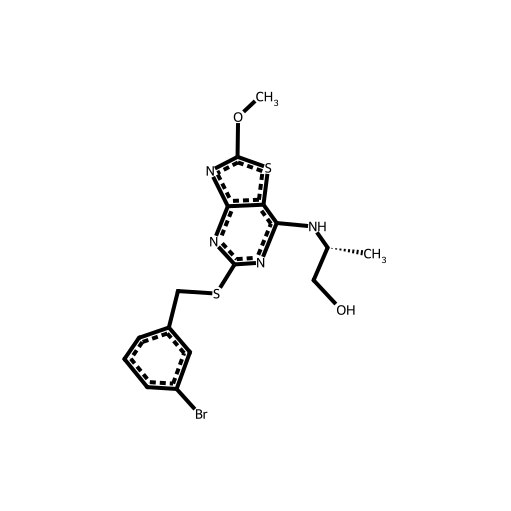 COc1nc2nc(SCc3cccc(Br)c3)nc(N[C@H](C)CO)c2s1